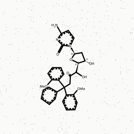 COc1ccccc1C(CC(=O)C(O)[C@H]1O[C@@H](n2ccc(N)nc2=O)C[C@@H]1O)(c1ccccc1)c1ccccc1OC